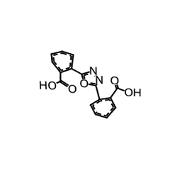 O=C(O)c1ccccc1-c1nnc(-c2ccccc2C(=O)O)o1